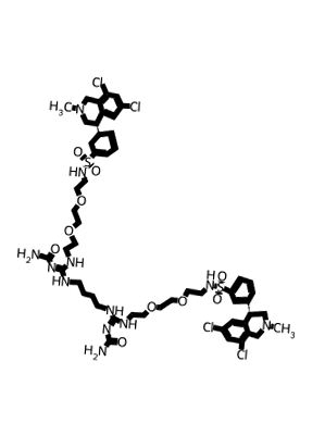 CN1Cc2c(Cl)cc(Cl)cc2[C@H](c2cccc(S(=O)(=O)NCCOCCOCCN/C(=N\C(N)=O)NCCCCN/C(=N/C(N)=O)NCCOCCOCCNS(=O)(=O)C3=CC=CC([C@@H]4CN(C)Cc5c(Cl)cc(Cl)cc54)C3)c2)C1